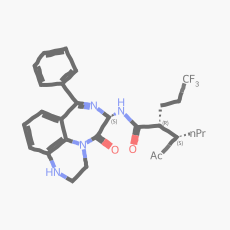 CCC[C@H](C(C)=O)[C@@H](CCC(F)(F)F)C(=O)N[C@H]1N=C(c2ccccc2)c2cccc3c2N(CCN3)C1=O